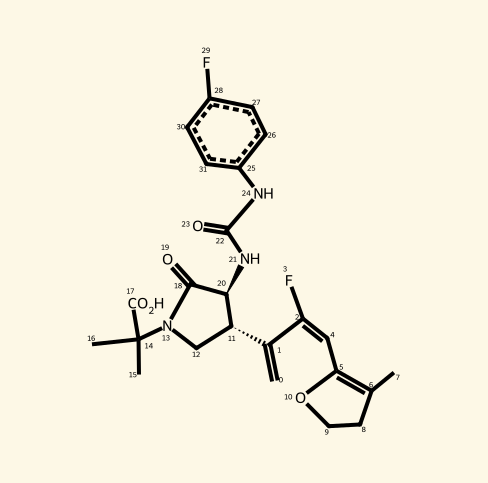 C=C(/C(F)=C\C1=C(C)CCO1)[C@@H]1CN(C(C)(C)C(=O)O)C(=O)[C@H]1NC(=O)Nc1ccc(F)cc1